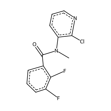 CN(C(=O)c1cccc(F)c1F)c1cccnc1Cl